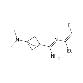 CCC(=C/F)/N=C(\N)C12CC(N(C)C)(C1)C2